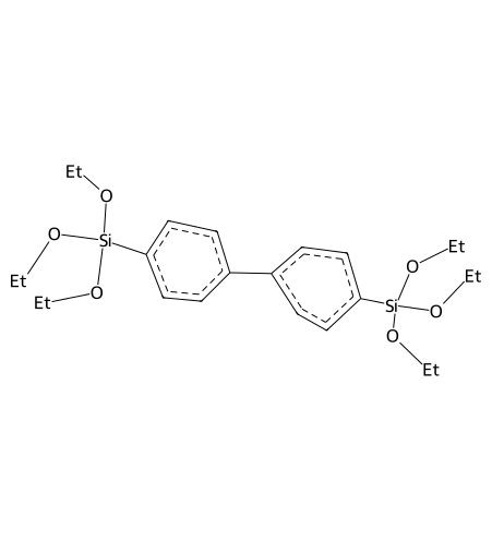 CCO[Si](OCC)(OCC)c1ccc(-c2ccc([Si](OCC)(OCC)OCC)cc2)cc1